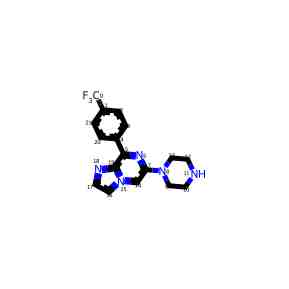 FC(F)(F)c1ccc(-c2nc(N3CCNCC3)cn3ccnc23)cc1